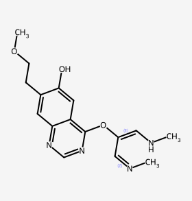 C/N=C\C(=C/NC)Oc1ncnc2cc(CCOC)c(O)cc12